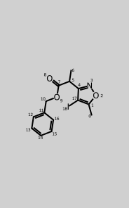 Cc1onc(C(C)C(=O)OCc2ccccc2)c1I